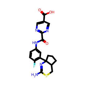 NC1=NC2(c3cc(NC(=O)c4ncc(C(=O)O)cn4)ccc3F)CCCC2CS1